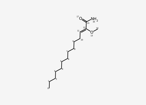 CCCCCCCCCCCC=C(OC)C(N)=O